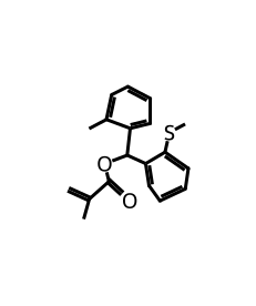 C=C(C)C(=O)OC(c1ccccc1C)c1ccccc1SC